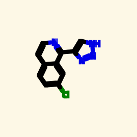 Clc1ccc2ccnc(-c3c[nH]nn3)c2c1